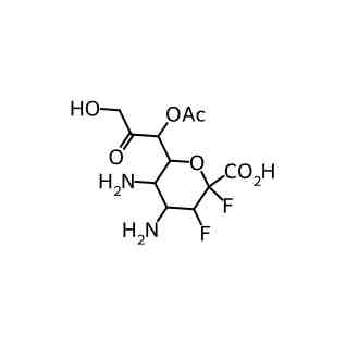 CC(=O)OC(C(=O)CO)C1OC(F)(C(=O)O)C(F)C(N)C1N